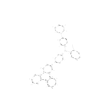 Cc1ccccc1N(c1ccc(-c2ccccc2)cc1)c1ccc(-c2ccc3c4ccccc4c4ccccc4c3c2)cc1